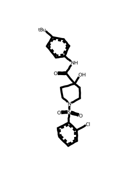 CC(C)(C)c1ccc(NC(=O)C2(O)CCN(S(=O)(=O)c3ccccc3Cl)CC2)cc1